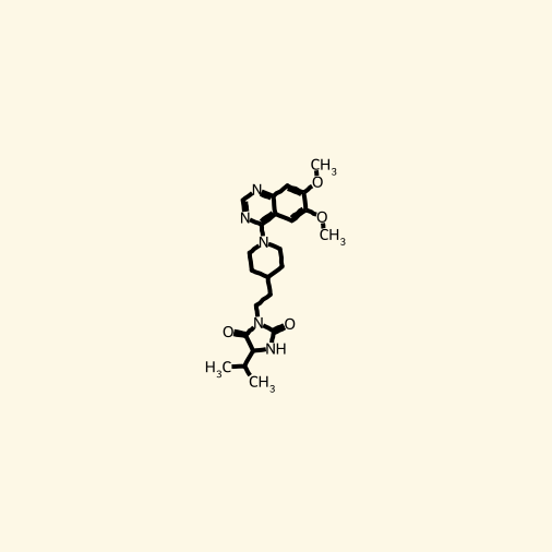 COc1cc2ncnc(N3CCC(CCN4C(=O)NC(C(C)C)C4=O)CC3)c2cc1OC